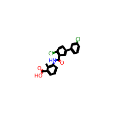 Cc1c(NC(=O)c2cc(-c3cccc(Cl)c3)ccc2Cl)cccc1C(=O)O